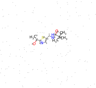 CC(=O)c1ncc(CNC(=O)C(C)(C)C)s1